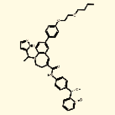 CCCCOCCOc1ccc(-c2ccc3c(c2)C=C(C(=O)Nc2ccc([C@H](O)c4cccc[n+]4[O-])cc2)CCN3C(C)c2ccn[nH]2)cc1